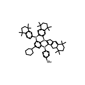 CC1(C)CCC(C)(C)C2CC3=C(C=C21)CC1=C3N(c2ccc(C(C)(C)C)cc2)c2cc(C3CCCCC3)cc3c2B1c1cc2c(cc1N3c1ccc3c(c1)C(C)(C)CCC3(C)C)C(C)(C)CCC2(C)C